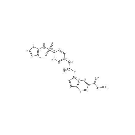 COC(=O)c1ccc2ccn(CC(=O)Nc3ccc(S(=O)(=O)Nc4nccs4)cc3)c2c1